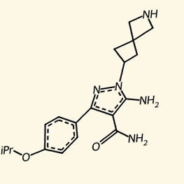 CC(C)Oc1ccc(-c2nn(C3CC4(CNC4)C3)c(N)c2C(N)=O)cc1